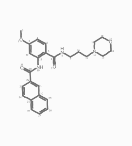 COc1ccc(C(=O)NCCCN2CCOCC2)c(NC(=O)c2ccc3ccccc3c2)c1